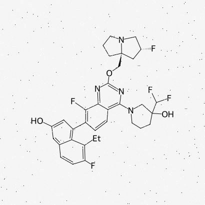 CCc1c(F)ccc2cc(O)cc(-c3ccc4c(N5CCCC(O)(C(F)F)C5)nc(OC[C@@]56CCCN5C[C@H](F)C6)nc4c3F)c12